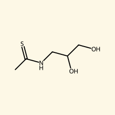 CC(=S)NCC(O)CO